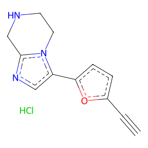 C#Cc1ccc(-c2cnc3n2CCNC3)o1.Cl